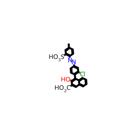 Cc1ccc(/N=N/c2ccc(-c3c(O)c(C(=O)O)cc4ccccc34)c(Cl)c2)c(S(=O)(=O)O)c1